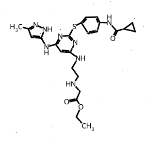 CCOC(=O)CNCCNc1cc(Nc2cc(C)n[nH]2)nc(Sc2ccc(NC(=O)C3CC3)cc2)n1